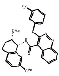 COc1ccc2c(c1)[C@@H](NC(=O)c1c(Oc3cccc(C(F)(F)F)c3)nnc3ccccc13)[C@@H](OC)CC2